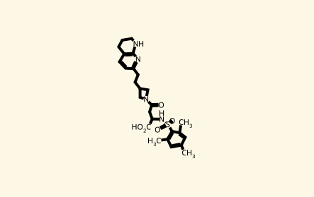 Cc1cc(C)c(S(=O)(=O)NC(CC(=O)N2CC(CCc3ccc4c(n3)NCCC4)C2)C(=O)O)c(C)c1